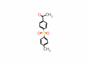 CC(=O)c1ccc(S(=O)(=O)c2ccc(C)cc2)cc1